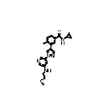 COCCNc1cncc(-n2cc(-c3cc(C(=O)NC4CC4)ccc3C)cn2)c1